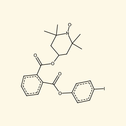 CC1(C)CC(OC(=O)c2ccccc2C(=O)Oc2ccc(I)cc2)CC(C)(C)N1[O]